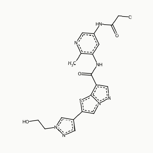 Cc1ncc(NC(=O)CCl)cc1NC(=O)c1cnn2cc(-c3cnn(CCO)c3)sc12